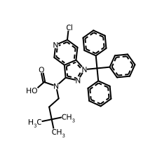 CC(C)(C)CCN(C(=O)O)c1nn(C(c2ccccc2)(c2ccccc2)c2ccccc2)c2cc(Cl)ncc12